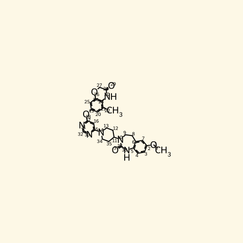 COc1ccc2c(c1)CCN(C1CCN(c3cc(Oc4cc(C)c5c(c4)OCC(=O)N5)ncn3)CC1)C(=O)N2